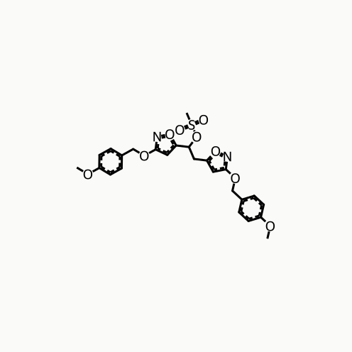 COc1ccc(COc2cc(CC(OS(C)(=O)=O)c3cc(OCc4ccc(OC)cc4)no3)on2)cc1